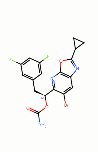 NC(=O)O[C@@H](Cc1cc(F)cc(F)c1)c1nc2oc(C3CC3)nc2cc1Br